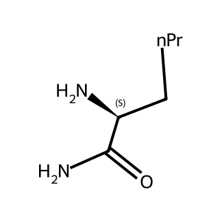 CCCC[C@H](N)C(N)=O